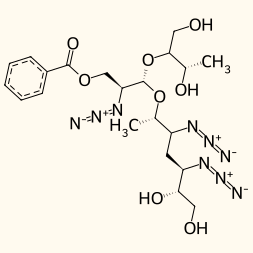 C[C@H](O)C(CO)O[C@H](O[C@@H](C)C(C[C@@H](N=[N+]=[N-])[C@@H](O)CO)N=[N+]=[N-])[C@H](COC(=O)c1ccccc1)N=[N+]=[N-]